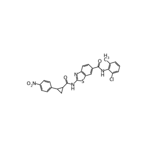 Cc1cccc(Cl)c1NC(=O)c1ccc2nc(NC(=O)C3CC3c3ccc([N+](=O)[O-])cc3)sc2c1